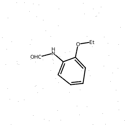 CCOc1ccccc1NC=O